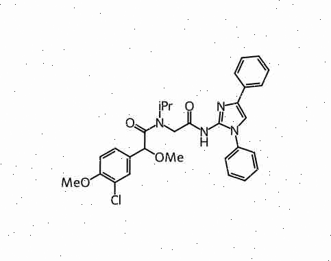 COc1ccc(C(OC)C(=O)N(CC(=O)Nc2nc(-c3ccccc3)cn2-c2ccccc2)C(C)C)cc1Cl